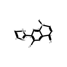 Cn1ccc(=S)c2cc(F)c(-c3ncc[nH]3)cc21